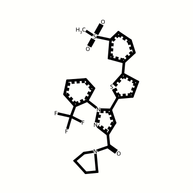 CS(=O)(=O)c1cccc(-c2ccc(-c3cc(C(=O)N4CCCC4)nn3-c3ccccc3C(F)(F)F)s2)c1